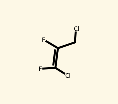 F/C(Cl)=C(\F)CCl